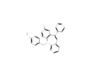 COc1ccc(CN2c3ccccc3C=C(c3ccncc3)c3cc(Cl)ccc32)cc1